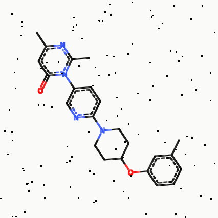 Cc1cccc(OC2CCN(c3ccc(-n4c(C)nc(C)cc4=O)cn3)CC2)c1